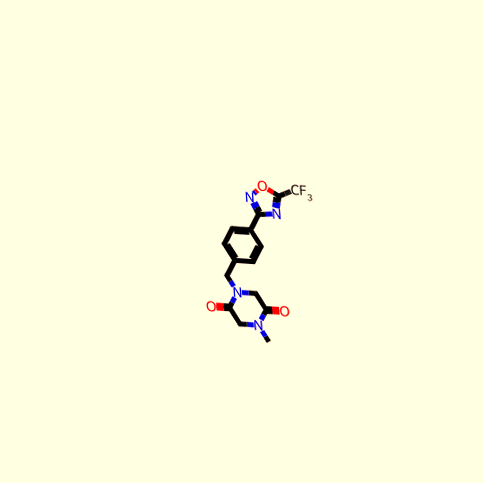 CN1CC(=O)N(Cc2ccc(-c3noc(C(F)(F)F)n3)cc2)CC1=O